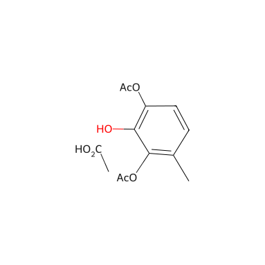 CC(=O)O.CC(=O)Oc1ccc(C)c(OC(C)=O)c1O